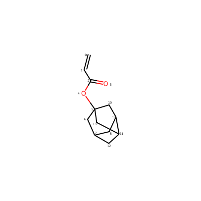 C=CC(=O)OC12CC3CC(C1)C(C3)C2